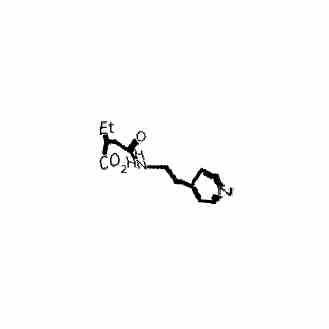 CCC(C(=O)O)C(=O)NCCc1ccncc1